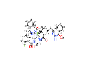 O=C(c1cc(Cc2n[nH]c(=O)c3ccccc23)ccc1F)N1CCN(C(O)c2cc(Cc3n[nH]c(=O)c4ccccc34)ccc2F)CC1